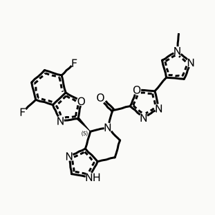 Cn1cc(-c2nnc(C(=O)N3CCc4[nH]cnc4[C@H]3c3nc4c(F)ccc(F)c4o3)o2)cn1